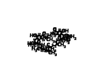 CC(C)=CCC/C(C)=C/CC[C@@]1(C)Oc2c(c(O)cc3c2CN(CCC[C@H](C)N2Cc4c(cc(O)c5c4O[C@](C)(CC/C=C(\C)CCC=C(C)C)[C@@H](O)C5)C2=O)C3=O)C[C@@H]1OS(N)(=O)=O